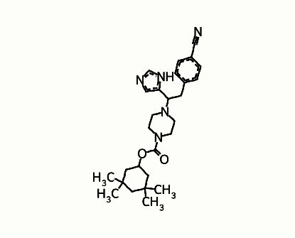 CC1(C)CC(OC(=O)N2CCN(C(Cc3ccc(C#N)cc3)c3cnc[nH]3)CC2)CC(C)(C)C1